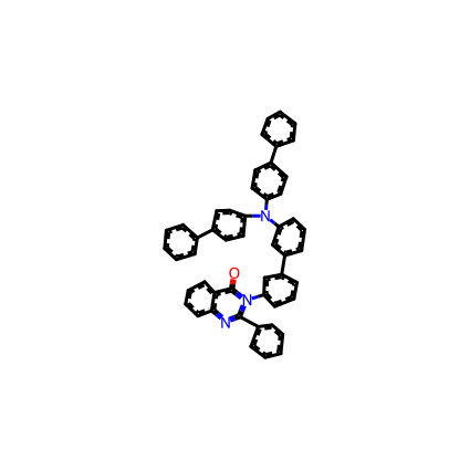 O=c1c2ccccc2nc(-c2ccccc2)n1-c1cccc(-c2cccc(N(c3ccc(-c4ccccc4)cc3)c3ccc(-c4ccccc4)cc3)c2)c1